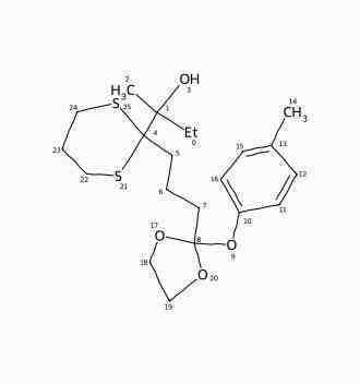 CCC(C)(O)C1(CCCC2(Oc3ccc(C)cc3)OCCO2)SCCCS1